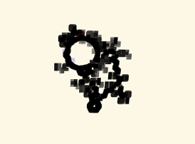 CNN(C)Cc1cc2ccccc2n1CCC(=O)N[C@@H](CCC(=O)O)C(=O)NCCCC(=O)N(C)[C@@H](C)C(=O)O[C@H]1CC(=O)N(C)c2cc(cc(OC)c2Cl)C/C(C)=C/C=C/[C@@H](OC)[C@@]2(O)C[C@H](OC(=O)N2)[C@@H](C)[C@@H]2O[C@@]12C